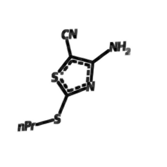 CCCSc1nc(N)c(C#N)s1